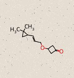 CC1(C)CC1C=CCOC1CC(=O)C1